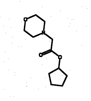 O=C(CN1CCOCC1)OC1CCCC1